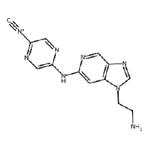 [C-]#[N+]c1cnc(Nc2cc3c(cn2)ncn3CCN)cn1